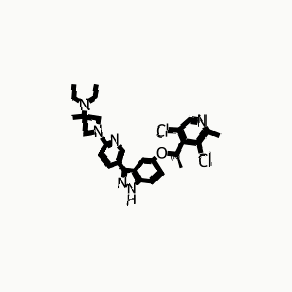 CCN(CC)C1(C)CN(c2ccc(-c3n[nH]c4ccc(O[C@H](C)c5c(Cl)cnc(C)c5Cl)cc34)cn2)C1